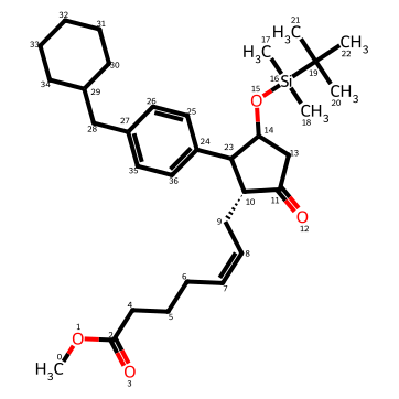 COC(=O)CCC/C=C\C[C@H]1C(=O)CC(O[Si](C)(C)C(C)(C)C)C1c1ccc(CC2CCCCC2)cc1